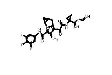 Cc1c(C(=O)C(=O)NC2(C(=N)SC=N)CC2)c2n(c1C(=O)Nc1cc(F)c(F)c(F)c1)C1C=C1C2